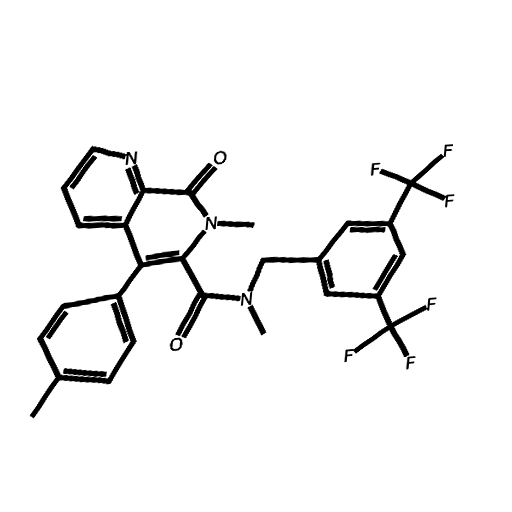 Cc1ccc(-c2c(C(=O)N(C)Cc3cc(C(F)(F)F)cc(C(F)(F)F)c3)n(C)c(=O)c3ncccc23)cc1